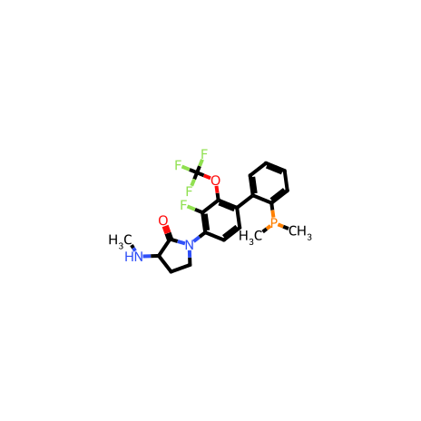 CNC1CCN(c2ccc(-c3ccccc3P(C)C)c(OC(F)(F)F)c2F)C1=O